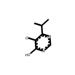 CC(C)c1ncnc(O)c1Cl